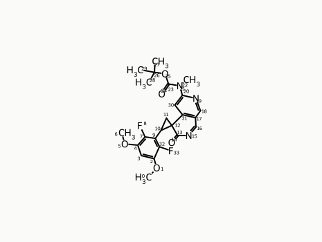 COc1cc(OC)c(F)c(C2CC23C(=O)N=Cc2cnc(N(C)C(=O)OC(C)(C)C)cc23)c1F